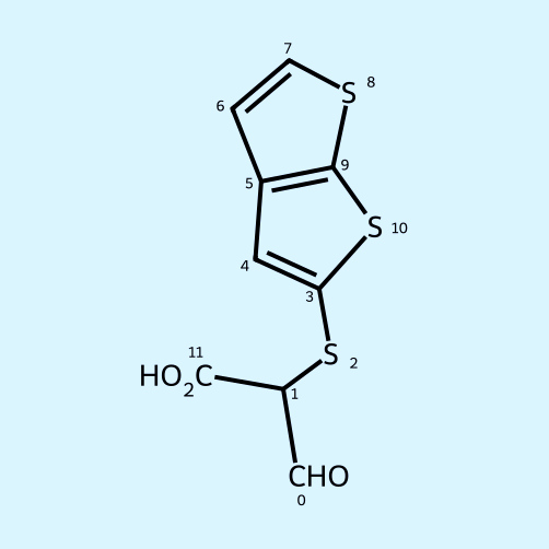 O=CC(Sc1cc2ccsc2s1)C(=O)O